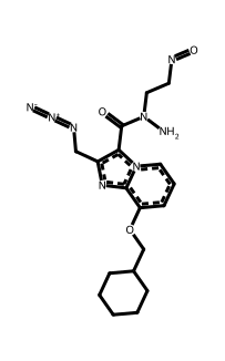 [N-]=[N+]=NCc1nc2c(OCC3CCCCC3)cccn2c1C(=O)N(N)CCN=O